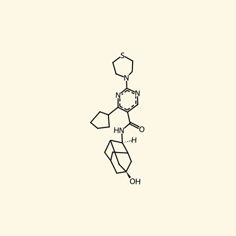 O=C(N[C@H]1C2CC3CC1C[C@@](O)(C3)C2)c1cnc(N2CCSCC2)nc1C1CCCC1